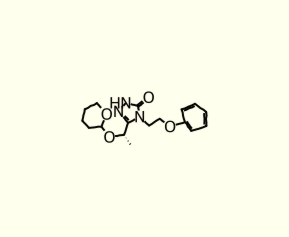 C[C@H](OC1CCCCO1)c1n[nH]c(=O)n1CCOc1ccccc1